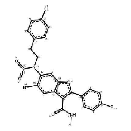 CNC(=O)c1c(-c2ccc(F)cc2)oc2cc(N(CCc3ccc(Cl)cc3)[SH](=O)=O)c(Br)cc12